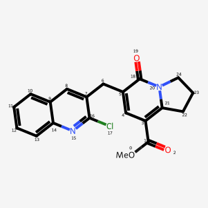 COC(=O)c1cc(Cc2cc3ccccc3nc2Cl)c(=O)n2c1CCC2